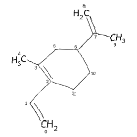 C=CC1=C(C)CC(C(=C)C)CC1